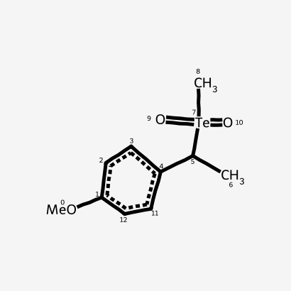 COc1ccc(C(C)[Te](C)(=O)=O)cc1